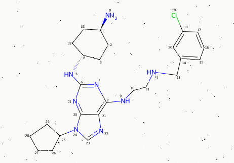 N[C@H]1CC[C@H](Nc2nc(NCCNCc3cccc(Cl)c3)c3ncn(C4CCCC4)c3n2)CC1